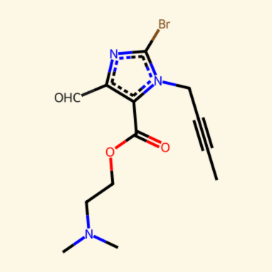 CC#CCn1c(Br)nc(C=O)c1C(=O)OCCN(C)C